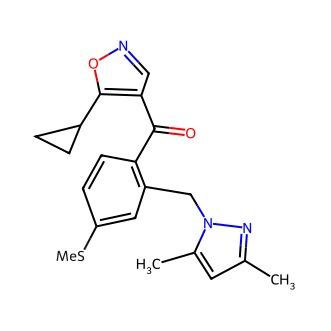 CSc1ccc(C(=O)c2cnoc2C2CC2)c(Cn2nc(C)cc2C)c1